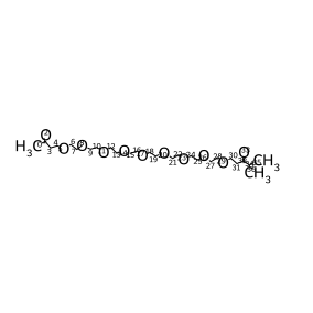 CC(=O)CCOCCOCCOCCOCCOCCOCCOCCOCCOCCC(=O)C(C)C